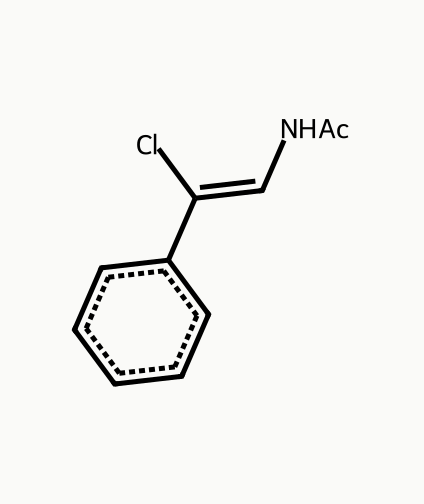 CC(=O)N/C=C(\Cl)c1ccccc1